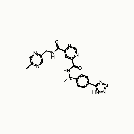 Cc1cnc(CNC(=O)c2cc(C(=O)N[C@@H](C)c3ccc(-c4nnn[nH]4)cc3)ncn2)cn1